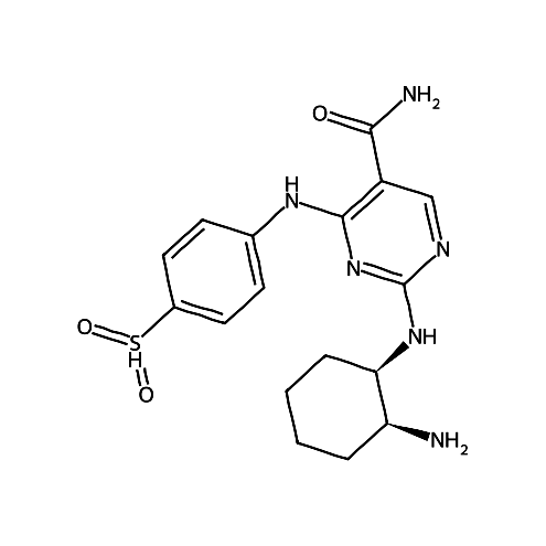 NC(=O)c1cnc(N[C@@H]2CCCC[C@@H]2N)nc1Nc1ccc([SH](=O)=O)cc1